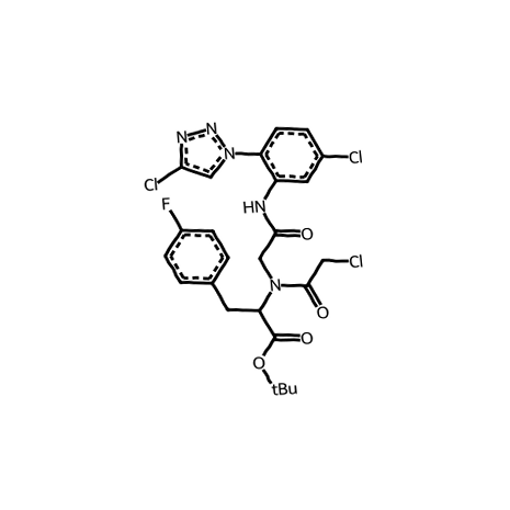 CC(C)(C)OC(=O)C(Cc1ccc(F)cc1)N(CC(=O)Nc1cc(Cl)ccc1-n1cc(Cl)nn1)C(=O)CCl